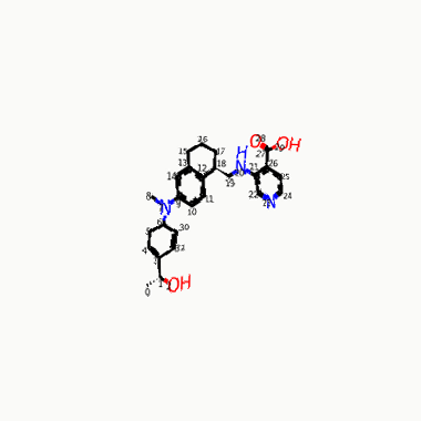 C[C@@H](O)C1=CCC(N(C)c2ccc3c(c2)CCC[C@H]3CNc2cnccc2C(=O)O)C=C1